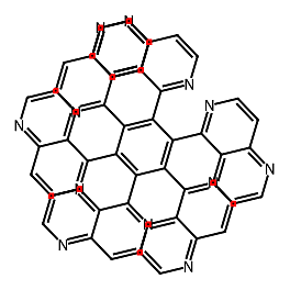 c1cnc2ccnc(-c3c(-c4nccc5ncccc45)c(-c4nccc5ncccc45)c(-c4nccc5ncccc45)c(-c4nccc5ncccc45)c3-c3nccc4ncccc34)c2c1